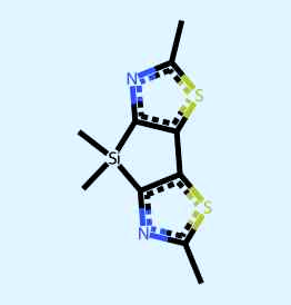 Cc1nc2c(s1)-c1sc(C)nc1[Si]2(C)C